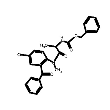 CC(NC(=O)OCc1ccccc1)C(=O)N(C)c1ccc(Cl)cc1C(=O)c1ccccc1